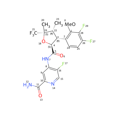 COc1c([C@@H]2[C@@H](C(=O)Nc3cc(C(N)=O)ncc3F)O[C@](C)(C(F)(F)F)[C@@H]2C)ccc(F)c1F